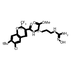 COC(=O)[C@H](CCCNC(N)=NO)NC(=O)C1=Cc2cc(Cl)c(C(C)(C)C)cc2O[C@@H]1C(F)(F)F